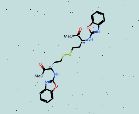 COC(=O)[C@H](CCSSCC[C@H](Nc1nc2ccccc2o1)C(=O)OC)Nc1nc2ccccc2o1